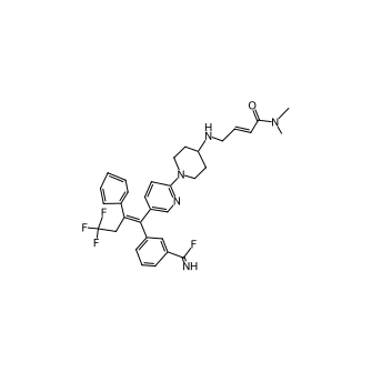 CN(C)C(=O)/C=C/CNC1CCN(c2ccc(/C(=C(/CC(F)(F)F)c3ccccc3)c3cccc(C(=N)F)c3)cn2)CC1